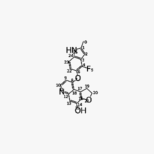 Cc1cc2c(F)c(Oc3ccnc4cc(O)c5c(c34)CCO5)ccc2[nH]1